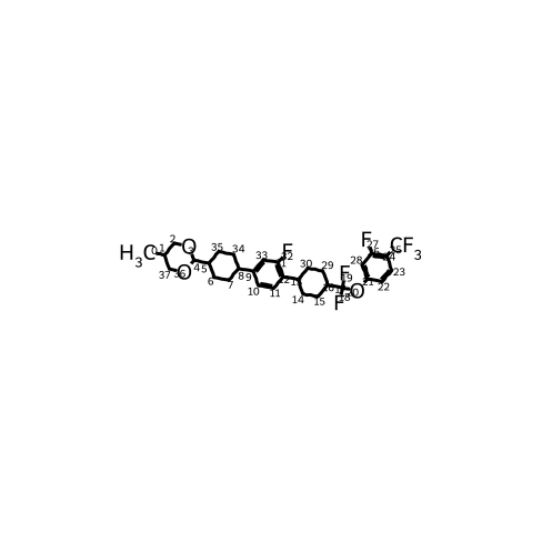 CC1COC(C2CCC(c3ccc(C4CCC(C(F)(F)Oc5ccc(C(F)(F)F)c(F)c5)CC4)c(F)c3)CC2)OC1